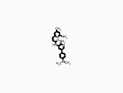 Cc1cc(N)nc(/C=C\C(=O)Nc2cc(-c3ccc(N(C)C)cc3)cnc2N)c1